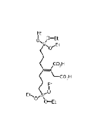 CCO[Si](CCCC(CCC[Si](OCC)(OCC)OCC)=C(CC(=O)O)C(=O)O)(OCC)OCC